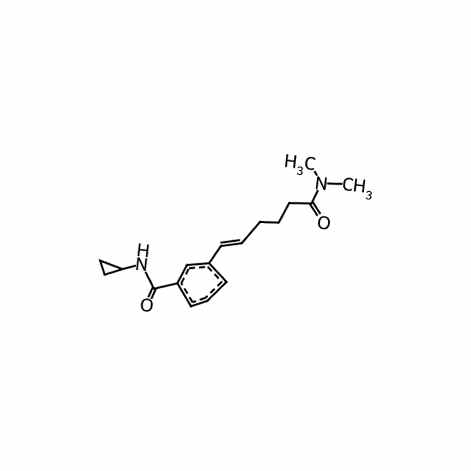 CN(C)C(=O)CCC/C=C/c1cccc(C(=O)NC2CC2)c1